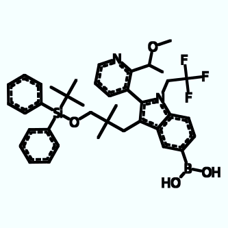 COC(C)c1ncccc1-c1c(CC(C)(C)CO[Si](c2ccccc2)(c2ccccc2)C(C)(C)C)c2cc(B(O)O)ccc2n1CC(F)(F)F